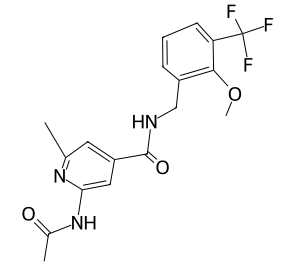 COc1c(CNC(=O)c2cc(C)nc(NC(C)=O)c2)cccc1C(F)(F)F